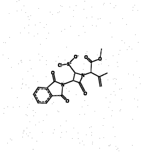 C=C(C)C(C(=O)OC)N1C(=O)C(N2C(=O)c3ccccc3C2=O)C1[S+]([O-])Cl